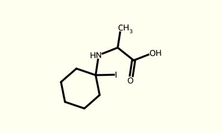 CC(NC1(I)CCCCC1)C(=O)O